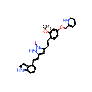 COc1cc(OCC2=CC=CCN2)ccc1/C=C/C1C=C(/C=C/c2cccc3[nH]ccc23)NN1I